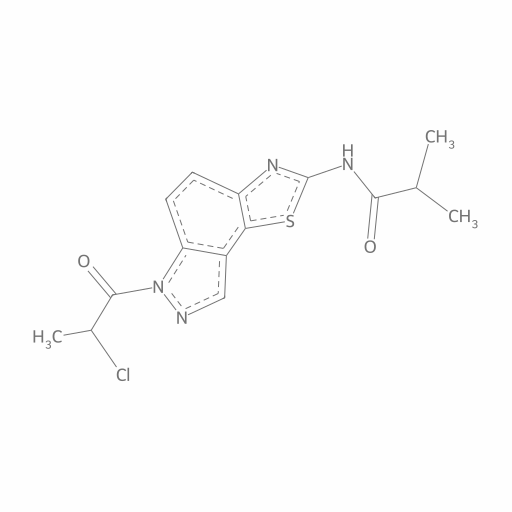 CC(C)C(=O)Nc1nc2ccc3c(cnn3C(=O)C(C)Cl)c2s1